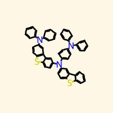 c1ccc(N(c2ccccc2)c2ccc(N(c3ccc4sc5ccccc5c4c3)c3ccc4sc5ccc(N(c6ccccc6)c6ccccc6)cc5c4c3)cc2)cc1